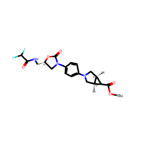 CC(C)(C)OC(=O)C1[C@H]2CN(c3ccc(N4C[C@H](CNC(=O)C(F)F)OC4=O)cc3)C[C@@H]12